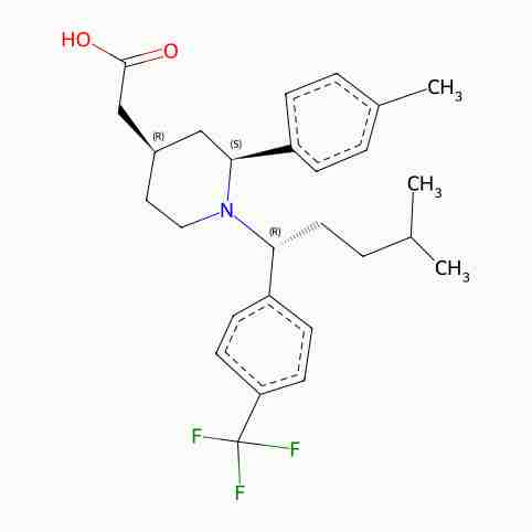 Cc1ccc([C@@H]2C[C@H](CC(=O)O)CCN2[C@H](CCC(C)C)c2ccc(C(F)(F)F)cc2)cc1